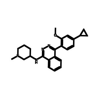 COc1cc(C2CC2)ccc1-c1nnc(NC2CCCN(C)C2)c2ccccc12